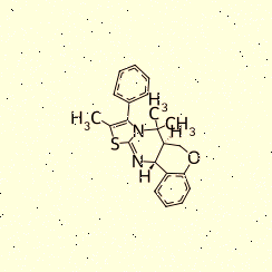 CC1=C(c2ccccc2)N2C(=N[C@H]3c4ccccc4OC[C@@H]3C2(C)C)S1